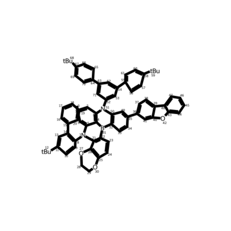 Cc1cc2c3c(c1)N(c1ccc(C(C)(C)C)cc1-c1ccccc1)c1c(ccc4c1OCCO4)B3c1ccc(-c3ccc4c(c3)oc3ccccc34)cc1N2c1cc(-c2ccc(C(C)(C)C)cc2)cc(-c2ccc(C(C)(C)C)cc2)c1